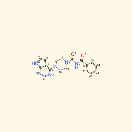 O=C(NC(=O)N1CCN(c2ncnc3[nH]ccc23)CC1)c1ccccc1